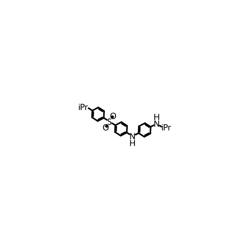 CC(C)Nc1ccc(Nc2ccc(S(=O)(=O)c3ccc(C(C)C)cc3)cc2)cc1